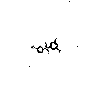 Cc1cc(Br)cc(S(=O)(=O)N2CC[C@@H](O)C2)c1